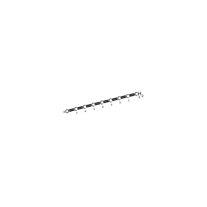 C=C=C=C=C=C=C=C=O